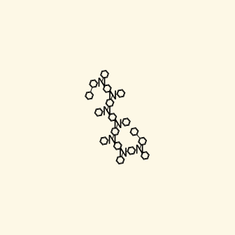 c1ccc(-c2cccc(N(c3ccccc3)c3ccc(N(c4ccccc4)c4ccc(N(c5ccccc5)c5ccc(N(c6ccccc6)c6ccc(N(c7ccccc7)c7ccc(N(c8ccccc8)c8ccc(N(c9ccccc9)c9cccc(-c%10ccccc%10)c9)cc8)cc7)cc6)cc5)cc4)cc3)c2)cc1